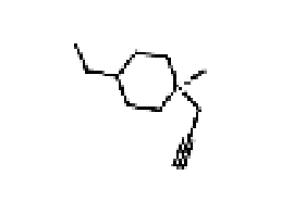 C#CC[N+]1(C)CCC(CC)CC1